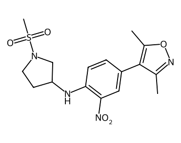 Cc1noc(C)c1-c1ccc(NC2CCN(S(C)(=O)=O)C2)c([N+](=O)[O-])c1